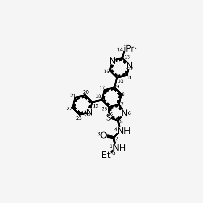 CCNC(=O)Nc1nc2cc(-c3cnc([C](C)C)nc3)cc(-c3ccccn3)c2s1